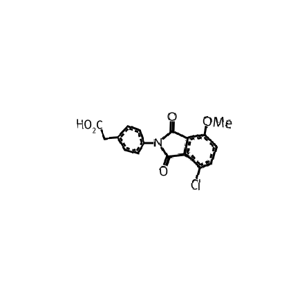 COc1ccc(Cl)c2c1C(=O)N(c1ccc(CC(=O)O)cc1)C2=O